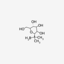 BC(C)(C)[C@H]1OC(CO)[C@H](O)C(O)C1O